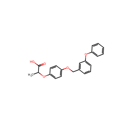 CC(Oc1ccc(OCc2cccc(Oc3ccccc3)c2)cc1)C(=O)O